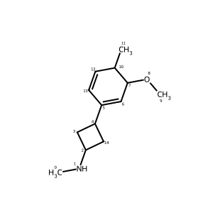 CNC1CC(C2=CC(OC)C(C)C=C2)C1